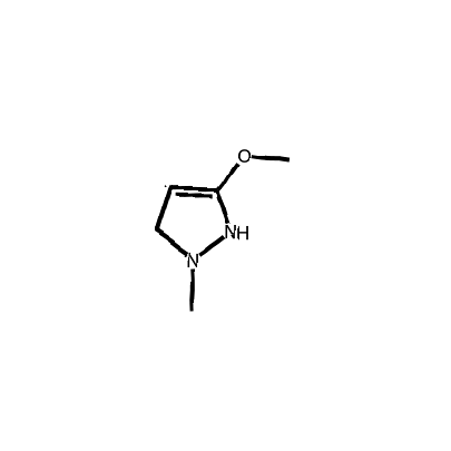 COC1=[C]CN(C)N1